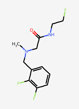 CN(CC(=O)NCCF)Cc1cccc(F)c1F